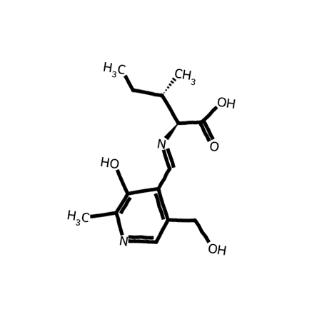 CC[C@H](C)[C@H](N=Cc1c(CO)cnc(C)c1O)C(=O)O